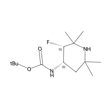 CC1(C)C[C@H](NC(=O)OC(C)(C)C)[C@H](F)C(C)(C)N1